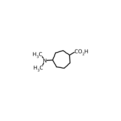 CN(C)C1CCCC(C(=O)O)CC1